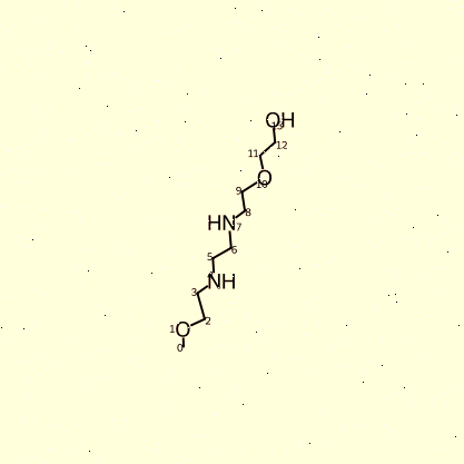 COCCNCCNCCOCCO